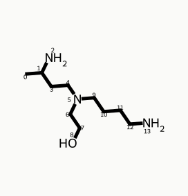 CC(N)CCN(CCO)CCCCN